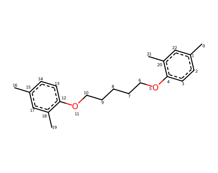 Cc1ccc(OCCCCCOc2ccc(C)cc2C)c(C)c1